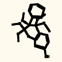 COC1(OC)Oc2cc(O)ccc2C(OC)(OC)[C@@]1(OC)c1ccccc1